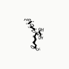 O=C(O)CCCCC(=O)OCCOCCO.OCCO